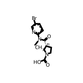 CCN(C(=O)[C@@H]1CCN(C(=O)O)C1)c1ccc(Br)cn1